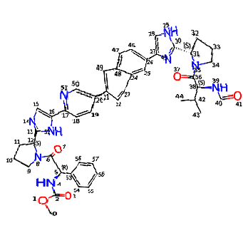 COC(=O)N[C@@H](C(=O)N1CCC[C@H]1c1ncc(-c2ccc(-c3ccc4cc(-c5c[nH]c([C@@H]6CCCN6C(=O)[C@@H](NC=O)C(C)C)n5)ccc4c3)cn2)[nH]1)c1ccccc1